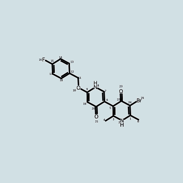 Cc1[nH]c(C)c(-c2c[nH]c(OCc3ccc(F)cc3)cc2=O)c(=O)c1Br